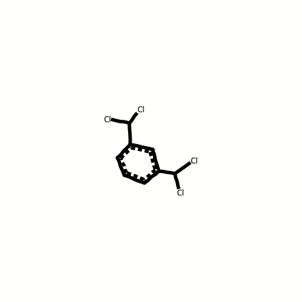 ClC(Cl)c1[c]c(C(Cl)Cl)ccc1